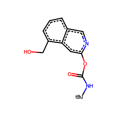 CC(C)(C)NC(=O)Oc1cc2c(CO)cccc2cn1